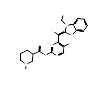 CCN1/C(=C(\N)c2nc(NC(=O)C3CCCN(C)C3)ncc2C)Nc2ccccc21